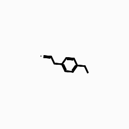 [CH]=CCc1ccc(CC)cc1